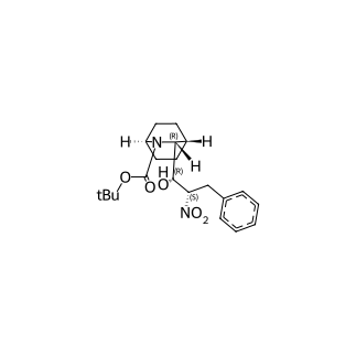 CC(C)(C)OC(=O)N1[C@H]2CC[C@@H](CC2)[C@@H]1[C@@H](O)[C@H](Cc1ccccc1)[N+](=O)[O-]